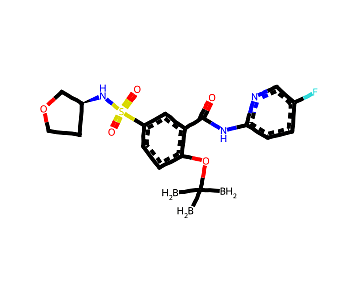 BC(B)(B)Oc1ccc(S(=O)(=O)N[C@H]2CCOC2)cc1C(=O)Nc1ccc(F)cn1